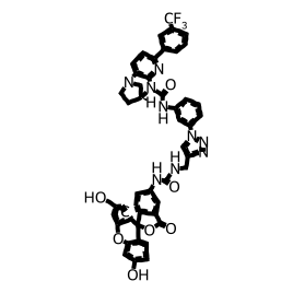 O=C(NCc1cn(-c2cccc(NC(=O)N3c4nc(-c5cccc(C(F)(F)F)c5)ccc4N4CC[C@H]3C4)c2)nn1)Nc1ccc2c(c1)C(=O)OC21c2ccc(O)cc2Oc2cc(O)ccc21